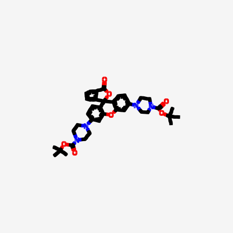 CC(C)(C)OC(=O)N1CCN(c2ccc3c(c2)Oc2cc(N4CCN(C(=O)OC(C)(C)C)CC4)ccc2C32OC(=O)c3ccccc32)CC1